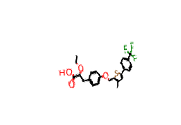 CCOC(Cc1ccc(OCc2sc(-c3ccc(C(F)(F)F)cc3)cc2C)cc1)C(=O)O